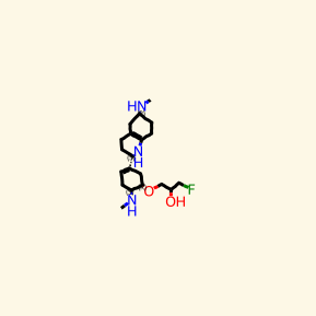 CN[C@@H]1CCC2=C(CC[C@@H](C3=CC[C@H](NC)[C@H](OCC(O)CF)C3)N2)C1